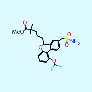 COC(=O)C(C)(C)CCCC1Oc2cccc(OC(F)F)c2-c2ccc(CS(N)(=O)=O)cc21